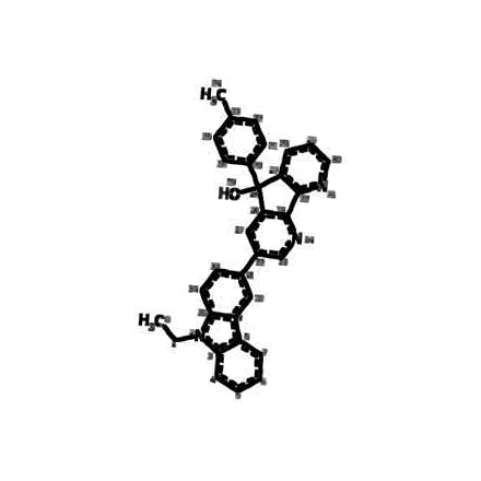 CCn1c2ccccc2c2cc(-c3cnc4c(c3)C(O)(c3ccc(C)cc3)c3cccnc3-4)ccc21